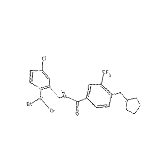 CC[S+]([O-])c1ccc(Cl)cc1CNC(=O)c1ccc(CN2CCCC2)c(C(F)(F)F)c1